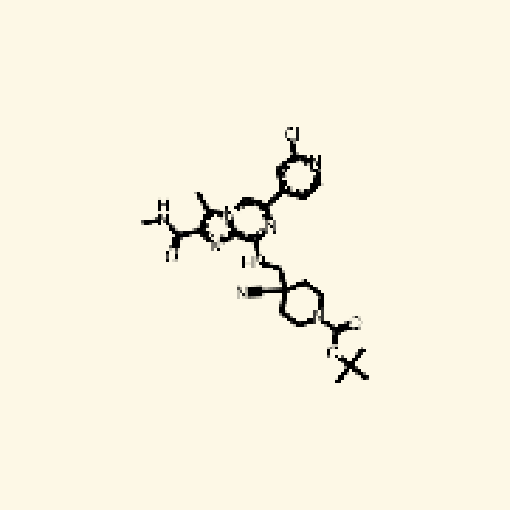 CNC(=O)c1nc2c(NCC3(C#N)CCN(C(=O)OC(C)(C)C)CC3)nc(-c3ccnc(Cl)c3)cn2c1C